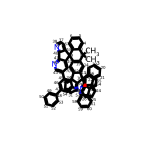 CC1(C)c2ccccc2C2(c3cc4c(cc31)C1(c3ccccc3-c3ccccc31)c1ccccc1-4)c1cccnc1-c1ncc(-c3cc(-c4ccccc4)cc(-n4c5ccccc5c5ccccc54)c3)cc12